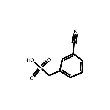 N#Cc1cccc(CS(=O)(=O)O)c1